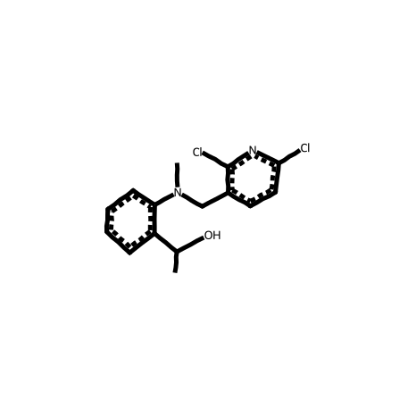 CC(O)c1ccccc1N(C)Cc1ccc(Cl)nc1Cl